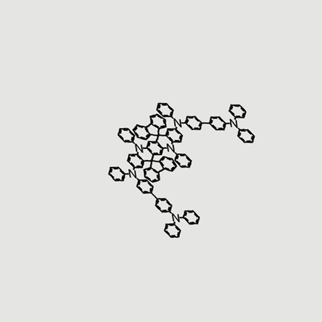 c1ccc(N(c2ccccc2)c2ccc(-c3ccc(N(c4ccccc4)c4ccc5c(c4)C4(c6ccccc6-c6ccccc64)c4cc6c(cc4N5c4ccccc4)C4(c5ccccc5-c5ccccc54)c4cc(N(c5ccccc5)c5ccc(-c7ccc(N(c8ccccc8)c8ccccc8)cc7)cc5)ccc4N6c4ccccc4)cc3)cc2)cc1